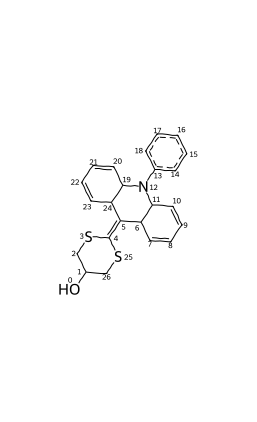 OC1CSC(=C2C3C=CC=CC3N(c3ccccc3)C3C=CC=CC23)SC1